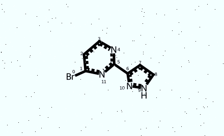 Brc1ccnc(-c2cc[nH]n2)n1